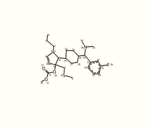 CCCN1C=NC(CSC)(OC(=O)OC)C1C1CCC(C(c2cccc(F)c2)N(C)C)CC1